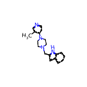 Cc1cnccc1N1CCN(Cc2cc3ccccc3[nH]2)CC1